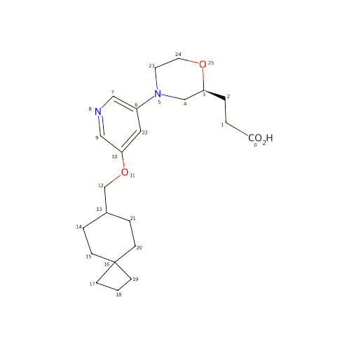 O=C(O)CC[C@H]1CN(c2cncc(OCC3CCC4(CCC4)CC3)c2)CCO1